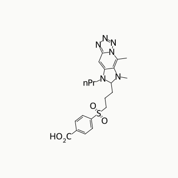 CCCN1c2cc3nnnn3c(C)c2N(C)C1CCCS(=O)(=O)c1ccc(C(=O)O)cc1